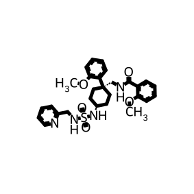 COc1ccccc1C(=O)NC[C@]1(c2ccccc2OC)CC[C@H](NS(=O)(=O)NCc2ccccn2)CC1